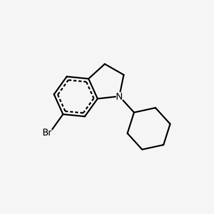 Brc1ccc2c(c1)N(C1CCCCC1)CC2